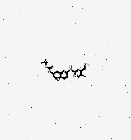 CC(C)C(=C/N)/C=C(\N)Nc1ccc2ncc(NC(=O)OC(C)(C)C)cc2n1